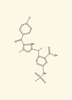 Cc1cc(C(C)c2ccc(NS(C)(=O)=O)cc2C(=O)O)[nH]c1C(=O)c1ccc(Cl)cc1